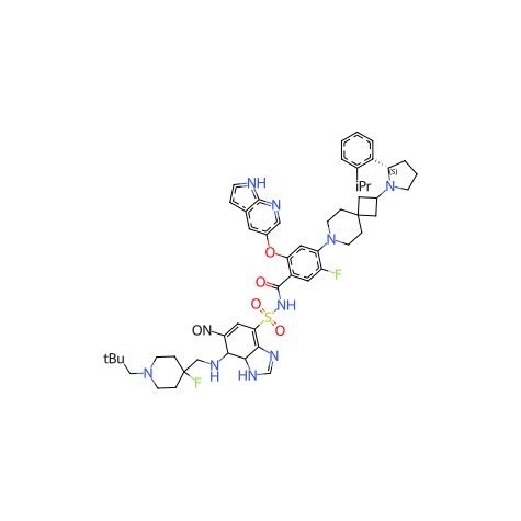 CC(C)c1ccccc1[C@@H]1CCCN1C1CC2(CCN(c3cc(Oc4cnc5[nH]ccc5c4)c(C(=O)NS(=O)(=O)C4=C5N=CNC5C(NCC5(F)CCN(CC(C)(C)C)CC5)C(N=O)=C4)cc3F)CC2)C1